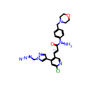 [N-]=[N+]=NCn1cc(-c2cc(Cl)ncc2/C=C/C(=O)N(N)c2ccc(CN3CCOCC3)cc2)cn1